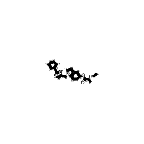 CCOC(C)C(=O)Oc1ccc2c(ccn2Cc2csc(-c3ccccc3)n2)c1